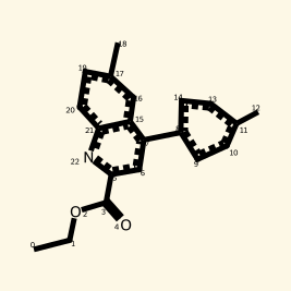 CCOC(=O)c1cc(-c2ccc(C)cc2)c2cc(C)ccc2n1